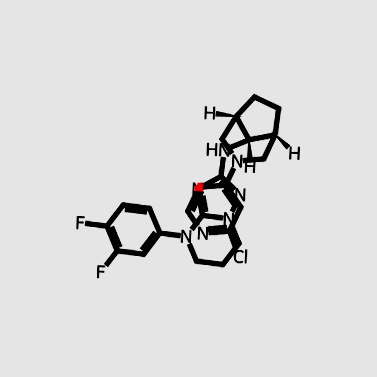 Fc1ccc(N2CCCn3nc(N[C@H]4[C@@H]5CC[C@H]4CN(c4ccnc(Cl)c4)C5)nc32)cc1F